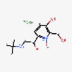 CC(C)(C)NCC(O)c1ccc(O)c(CO)[n+]1[O-].Cl.Cl